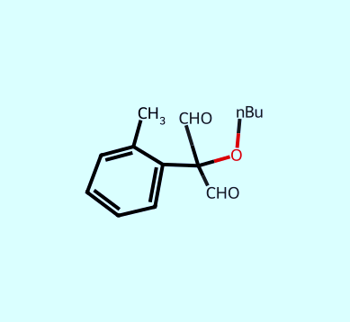 CCCCOC(C=O)(C=O)c1ccccc1C